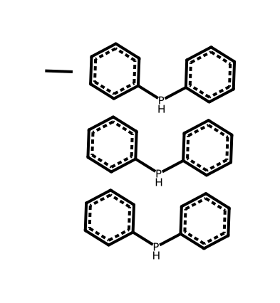 CC.c1ccc(Pc2ccccc2)cc1.c1ccc(Pc2ccccc2)cc1.c1ccc(Pc2ccccc2)cc1